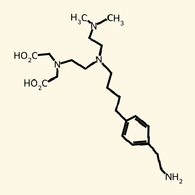 CN(C)CCN(CCCCc1ccc(CCN)cc1)CCN(CC(=O)O)CC(=O)O